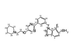 Bc1ccc2nnn(Cc3cccc(-c4ncc(OCCN5CCCCC5)cn4)c3)c2c1F